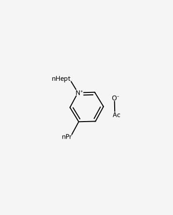 CC(=O)[O-].CCCCCCC[n+]1cccc(CCC)c1